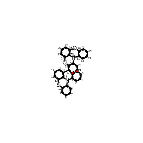 c1ccc(N2c3ccccc3Sc3cccc(-c4cccc5c4Oc4cccc6c4B5c4ccccc4O6)c32)cc1